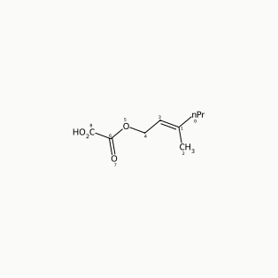 CCC/C(C)=C/COC(=O)C(=O)O